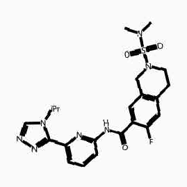 CC(C)n1cnnc1-c1cccc(NC(=O)c2cc3c(cc2F)CCN(S(=O)(=O)N(C)C)C3)n1